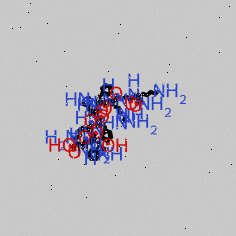 N=C(N)NCCC[C@H](NC(=O)[C@H](Cc1ccccc1)NC(=O)[C@@H](Cc1c[nH]cn1)NC(=O)[C@H](Cc1ccc(O)cc1)NC(=O)[C@H](CCCCN)NC(=O)[C@@H](Cc1c[nH]c2ccccc12)NC(=O)[C@@H](N)CC(=O)O)C(=O)NCC(=O)N[C@@H](CCCCN)C(N)=O